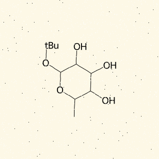 CC1OC(OC(C)(C)C)C(O)C(O)C1O